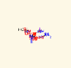 N=C(N)c1ccc(CNC(=O)CCCCCCCCCOP(=O)(O)OCC2OC(n3cc(/C=C/C(=O)NCCCCCCNC(=O)c4ccc(C(=O)O)c(-c5c6ccc(=O)cc-6oc6cc(O)ccc56)c4)c(=O)[nH]c3=O)CC2CBCOP(=O)(O)OCCCCCCNC(=S)Nc2cccc(I)c2)cc1